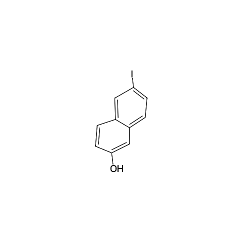 Oc1ccc2cc(I)ccc2c1